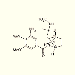 CNc1c(N)cc(C(=O)N2C[C@@H]3CC[C@@H]2[C@@H]3CC(C)(C)NC(=O)O)cc1OC